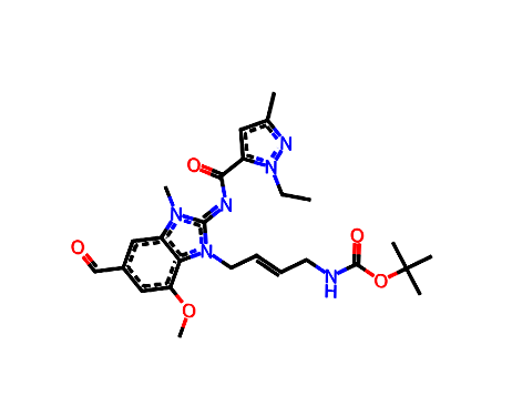 CCn1nc(C)cc1C(=O)/N=c1\n(C)c2cc(C=O)cc(OC)c2n1C/C=C/CNC(=O)OC(C)(C)C